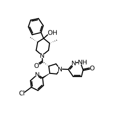 C[C@@H]1CN(C(=O)[C@@H]2CN(c3ccc(=O)[nH]n3)C[C@H]2c2ccc(Cl)cn2)C[C@H](C)C1(O)c1ccccc1